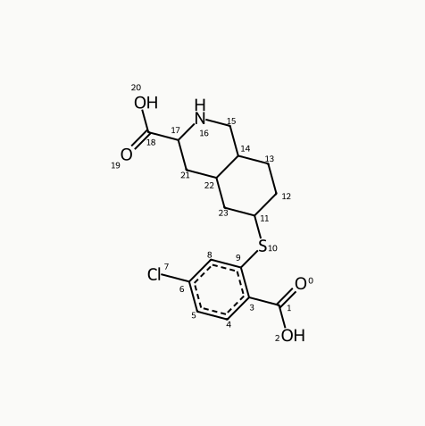 O=C(O)c1ccc(Cl)cc1SC1CCC2CNC(C(=O)O)CC2C1